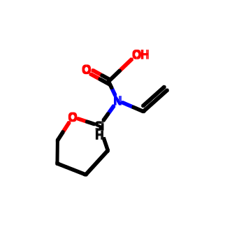 C=CN(C(=O)O)[SiH]1CCCCO1